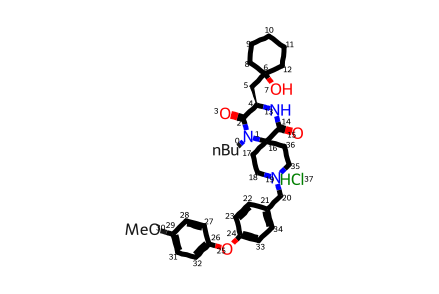 CCCCN1C(=O)[C@@H](CC2(O)CCCCC2)NC(=O)C12CCN(Cc1ccc(Oc3ccc(OC)cc3)cc1)CC2.Cl